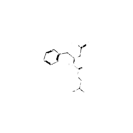 CC(C)COC(=O)N[C@H](CC(=O)O)Cc1ccccc1